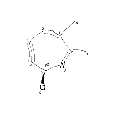 CC1=CC#C[C@H](Cl)N=C1C